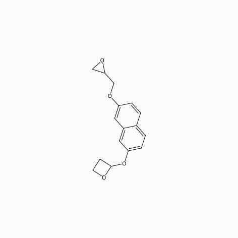 c1cc2ccc(OC3CCO3)cc2cc1OCC1CO1